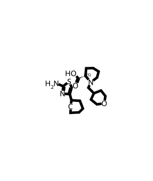 Nc1nc(C2CCCCC2)cs1.O=C(O)[C@@H]1CCCCN1CC1CCOCC1